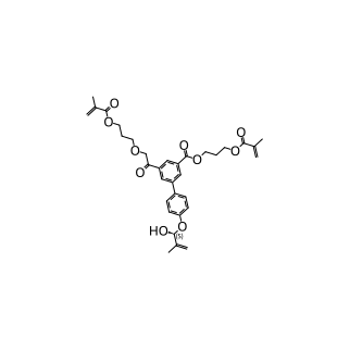 C=C(C)C(=O)OCCCOCC(=O)c1cc(C(=O)OCCCOC(=O)C(=C)C)cc(-c2ccc(O[C@H](O)C(=C)C)cc2)c1